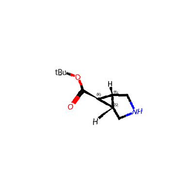 CC(C)(C)OC(=O)[C@H]1[C@@H]2CNC[C@@H]21